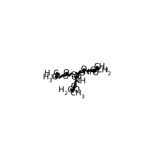 C=C(C)C(=O)OCCNC(=O)OCC(CSCCC(=O)OCCN(CC)CC)OC(=O)NCCOC(=O)C(=C)C